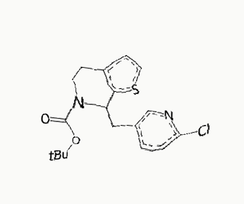 CC(C)(C)OC(=O)N1CCc2ccsc2C1Cc1ccc(Cl)nc1